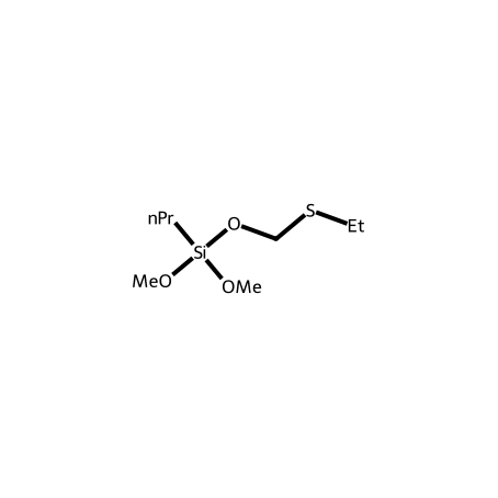 CCC[Si](OC)(OC)OCSCC